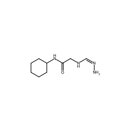 N/N=C\NCC(=O)NC1CCCCC1